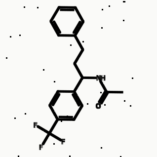 CC(=O)NC(CCc1ccccc1)c1ccc(C(F)(F)F)cc1